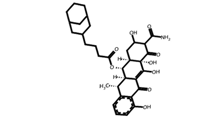 C[C@H]1c2cccc(O)c2C(=O)C2=C(O)[C@]3(O)C(=O)C(C(N)=O)C(O)C[C@@H]3[C@@H](OC(=O)CCCC3CC4CCCC(C3)C4)[C@@H]21